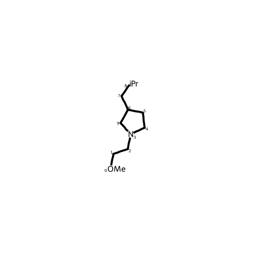 COCCN1CCC(CC(C)C)C1